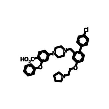 O=C(O)c1ccc(N2CCN(Cc3cc(OCCN4CCCC4)ccc3-c3ccc(Cl)cc3)CC2)cc1Oc1ccccc1